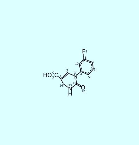 O=C(O)C1=CN(c2cccc(F)c2)C(=O)NC1